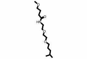 COCCCC(=O)NCCOCCOCCCC(C)C